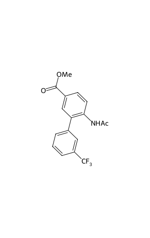 COC(=O)c1ccc(NC(C)=O)c(-c2cccc(C(F)(F)F)c2)c1